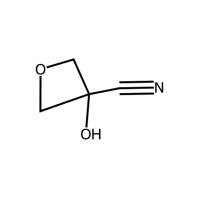 N#CC1(O)COC1